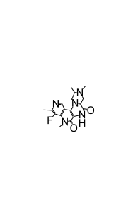 Cc1ncc2c3c(c(=O)n(C)c2c1F)NC(=O)C1CN(C)C(C)CN31